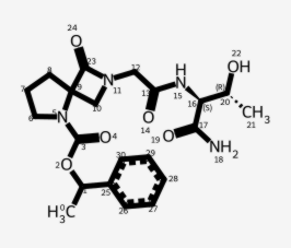 CC(OC(=O)N1CCCC12CN(CC(=O)N[C@H](C(N)=O)[C@@H](C)O)C2=O)c1ccccc1